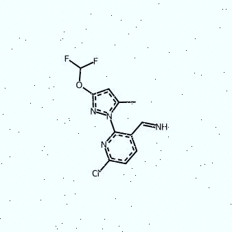 Cc1cc(OC(F)F)nn1-c1nc(Cl)ccc1C=N